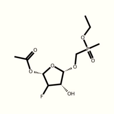 CCOP(C)(=O)CO[C@H]1O[C@@H](OC(C)=O)C(F)[C@H]1O